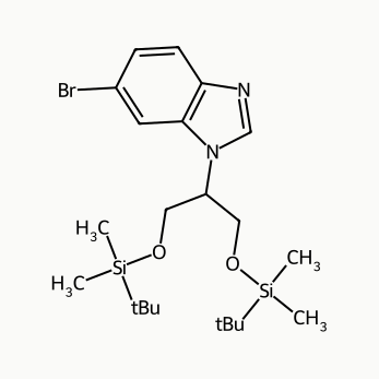 CC(C)(C)[Si](C)(C)OCC(CO[Si](C)(C)C(C)(C)C)n1cnc2ccc(Br)cc21